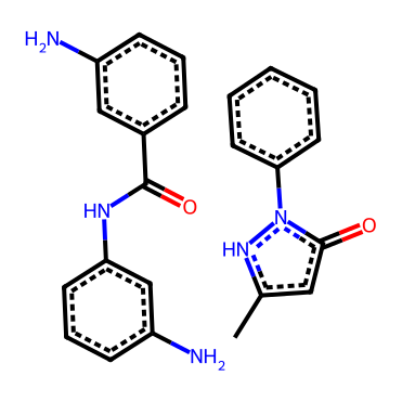 Cc1cc(=O)n(-c2ccccc2)[nH]1.Nc1cccc(NC(=O)c2cccc(N)c2)c1